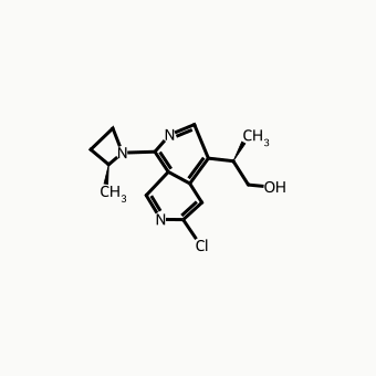 C[C@@H](CO)c1cnc(N2CC[C@@H]2C)c2cnc(Cl)cc12